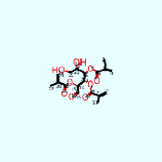 C=C(C)C(=O)O[C@@H]([C@H](OC(=O)C(=C)C)[C@@H](C=O)OC(=O)C(=C)C)[C@H](O)CO